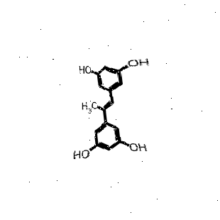 C/C(=C\c1cc(O)cc(O)c1)c1cc(O)cc(O)c1